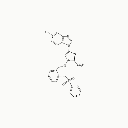 O=C(O)c1sc(-n2cnc3cc(Cl)ccc32)cc1OCc1ccccc1CS(=O)(=O)c1ccccc1